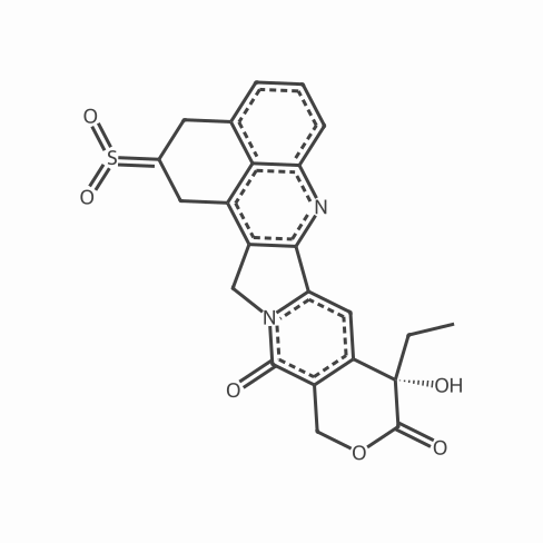 CC[C@@]1(O)C(=O)OCc2c1cc1n(c2=O)Cc2c-1nc1cccc3c1c2CC(=S(=O)=O)C3